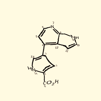 O=C(O)c1cc(-c2ccnc3[nH]ccc23)c[nH]1